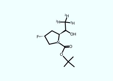 [2H]C([2H])([2H])C(O)[C@@H]1C[C@@H](F)CN1C(=O)OC(C)(C)C